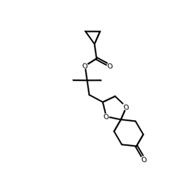 CC(C)(CC1COC2(CCC(=O)CC2)O1)OC(=O)C1CC1